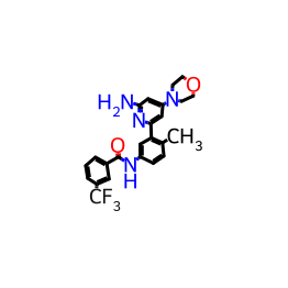 Cc1ccc(NC(=O)c2cccc(C(F)(F)F)c2)cc1-c1cc(N2CCOCC2)cc(N)n1